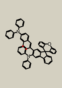 c1ccc(N(c2ccccc2)c2ccc3cc(-c4cc5c(cc4N(c4ccccc4)c4ccccc4)-c4ccccc4C54c5ccccc5Oc5ccccc54)ccc3c2)cc1